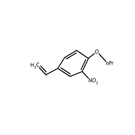 C=[C]c1ccc(OCCC)c([N+](=O)[O-])c1